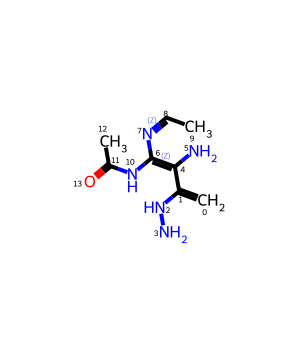 C=C(NN)/C(N)=C(/N=C\C)NC(C)=O